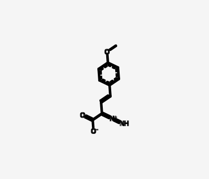 COc1ccc(C=CC(=[N+]=N)C(=O)[O-])cc1